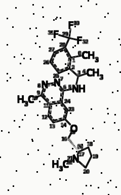 Cc1c(C(C)Nc2nnc(C)c3ccc(OC[C@@H]4CCCN4C)cc23)cccc1C(F)(F)F